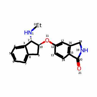 CCN[C@H]1c2ccccc2C[C@@H]1Oc1ccc2c(c1)CNC2=O